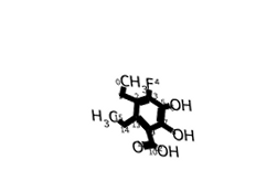 CCc1c(F)c(O)c(O)c(C(=O)O)c1CC